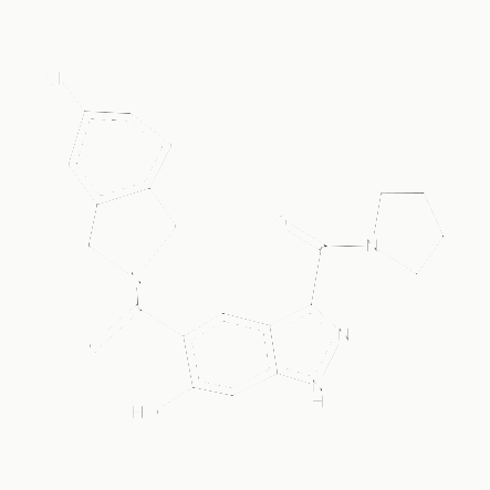 O=C(c1cc2c(C(=O)N3CCCC3)n[nH]c2cc1O)N1Cc2ccc(Cl)cc2C1